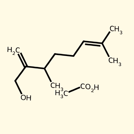 C=C(CO)C(C)CCC=C(C)C.CC(=O)O